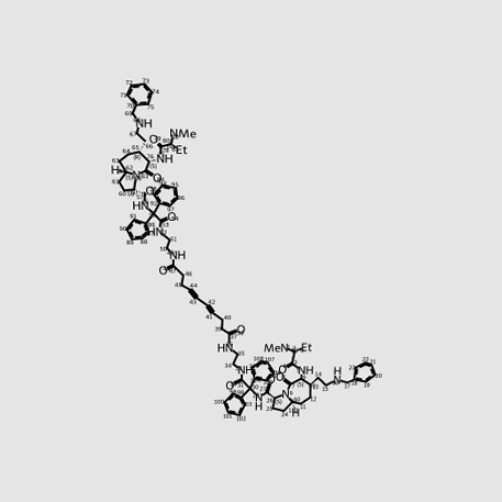 CC[C@H](NC)C(=O)N[C@@H]1C(=O)N2[C@@H](CC[C@@H]1CCNCc1ccccc1)CC[C@H]2C(=O)NC(C(=O)NCCNC(=O)CCC#CC#CCCC(=O)NCCNC(=O)C(NC(=O)[C@@H]1CC[C@@H]2CC[C@H](CCNCc3ccccc3)[C@H](NC(=O)[C@H](CC)NC)C(=O)N21)(c1ccccc1)c1ccccc1)(c1ccccc1)c1ccccc1